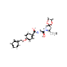 O=C(NCC(=O)N1CC2(C[C@H]1C(=O)O)OCCO2)c1ccc(OCc2ccccc2)cc1